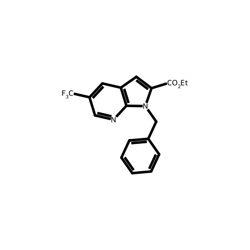 CCOC(=O)c1cc2cc(C(F)(F)F)cnc2n1Cc1ccccc1